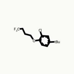 CC(C)(C)c1ccc(OCCCC(F)(F)F)c(Cl)c1